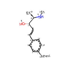 CCCCCc1ccc(/C=C/[C@H](O)[C@@H](CC)NCC)cc1